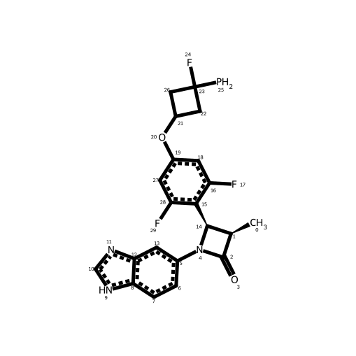 C[C@H]1C(=O)N(c2ccc3[nH]cnc3c2)[C@H]1c1c(F)cc(OC2CC(F)(P)C2)cc1F